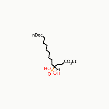 CCCCCCCCCCCCCCCCCCC(CC)(CCC(=O)OCC)P(=O)(O)O